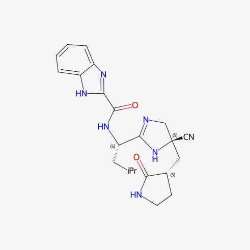 CC(C)C[C@H](NC(=O)c1nc2ccccc2[nH]1)C1=NC[C@](C#N)(C[C@@H]2CCNC2=O)N1